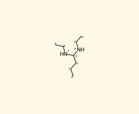 CCCC(NCC)NCC